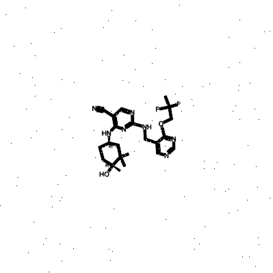 CC(F)(F)COc1ncncc1CNc1ncc(C#N)c(N[C@@H]2CC[C@@](C)(O)C(C)(C)C2)n1